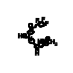 CS(=O)(=O)Nc1ccc2[nH]cc(C3CCN(C(CO)C4CCN(C(=O)C=Cc5ccc(F)c(F)c5F)CC4)CC3)c2c1